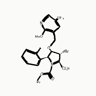 COc1ncc(C(F)(F)F)cc1CO[C@H]1[C@H](C(C)(C)C)[C@@H](C(=O)O)N(C(=O)OC(C)C)[C@H]1c1ccccc1C